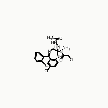 CC(=O)NNC1(N(N)C(=O)CCl)CN=C(c2ccccc2Cl)c2cc(Cl)ccc2N1